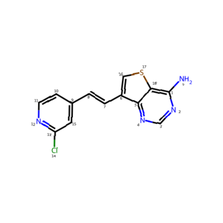 Nc1ncnc2c(/C=C/c3ccnc(Cl)c3)csc12